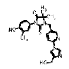 CC1(C)C(=O)N(c2ccc(C#N)c(C(F)(F)F)c2)C(=S)N1Cc1ccc(-n2cnc(CO)c2)nc1